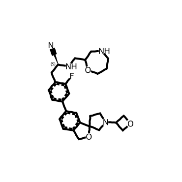 N#C[C@H](Cc1ccc(-c2ccc3c(c2)C2(CCN(C4COC4)C2)OC3)cc1F)NCC1CNCCCO1